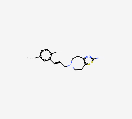 COc1ccc(OC)c(C=CCN2CCc3nc(N)sc3CC2)c1